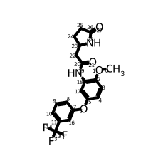 COc1ccc(Oc2cccc(C(F)(F)F)c2)cc1NC(=O)CC1CCC(=O)N1